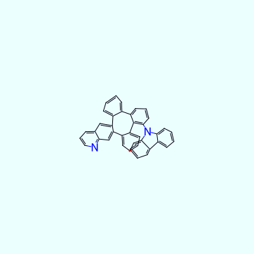 c1ccc2c(c1)-c1cc3cccnc3cc1-c1ccccc1-c1c-2cccc1-n1c2ccccc2c2ccccc21